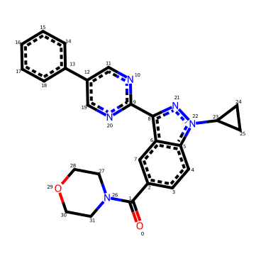 O=C(c1ccc2c(c1)c(-c1ncc(-c3ccccc3)cn1)nn2C1CC1)N1CCOCC1